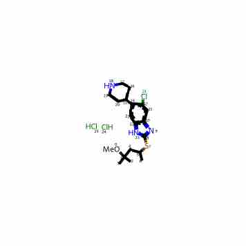 COC(C)(C)CC(C)Sc1nc2cc(Cl)c(C3CCNCC3)cc2[nH]1.Cl.Cl